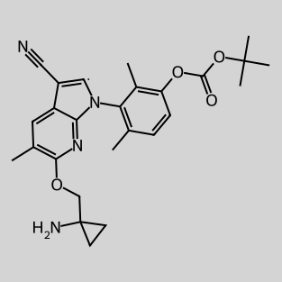 Cc1cc2c(C#N)[c]n(-c3c(C)ccc(OC(=O)OC(C)(C)C)c3C)c2nc1OCC1(N)CC1